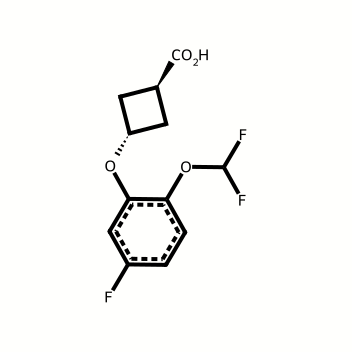 O=C(O)[C@H]1C[C@H](Oc2cc(F)ccc2OC(F)F)C1